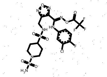 NS(=O)(=O)N1CCC(S(=O)(=O)NCc2nonc2C(=NOC(=O)C(F)(F)F)Nc2ccc(F)c(Cl)c2)CC1